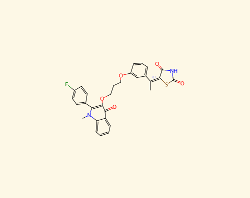 C/C(=C1\SC(=O)NC1=O)c1cccc(OCCCOc2c(-c3ccc(F)cc3)n(C)c3ccccc3c2=O)c1